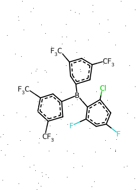 Fc1cc(F)c(B(c2cc(C(F)(F)F)cc(C(F)(F)F)c2)c2cc(C(F)(F)F)cc(C(F)(F)F)c2)c(Cl)c1